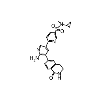 CN(C1CC1)S(=O)(=O)c1ccc(-c2cnc(N)c(-c3ccc4c(c3)CCNC4=O)c2)nc1